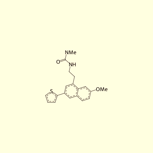 CNC(=O)NCCc1cc(-c2cccs2)cc2ccc(OC)cc12